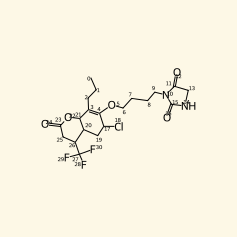 CCCC1=C(OCCCCN2C(=O)CNC2=O)C(Cl)CC2C1OC(=O)CC2C(F)(F)F